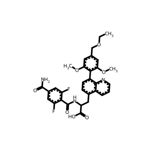 CCOCc1cc(OC)c(-c2ccc(CC(NC(=O)c3c(F)cc(C(N)=O)cc3F)C(=O)O)c3cccnc23)c(OC)c1